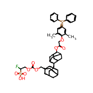 Cc1cc([SH](c2ccccc2)c2ccccc2)cc(C)c1OCC(=O)OC1C2CC3CC1CC(C2)C3C12CC3CC(CC(COC(=O)OCC(F)S(=O)(=O)O)(C3)C1)C2